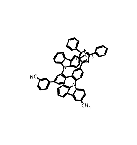 Cc1ccc2c(c1)c1ccccc1n2-c1ccc(-c2nc(-c3ccccc3)nc(-c3ccccc3)n2)cc1-c1ccc(-c2cccc(C#N)c2)cc1-n1c2ccccc2c2cc(C)ccc21